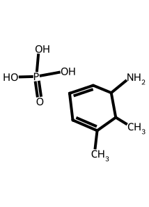 CC1=CC=CC(N)C1C.O=P(O)(O)O